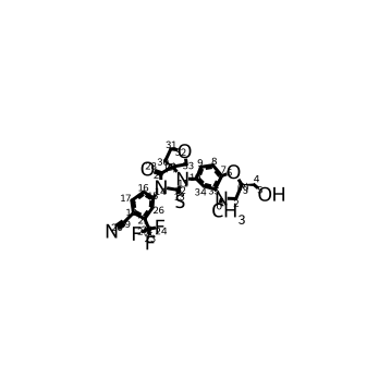 CN1C[C@H](CO)Oc2ccc(N3C(=S)N(c4ccc(C#N)c(C(F)(F)F)c4)C(=O)[C@@]34CCOC4)cc21